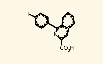 O=C(O)c1cc2ccccc2c(-c2ccc(I)cc2)n1